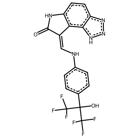 O=C1Nc2ccc3nn[nH]c3c2/C1=C\Nc1ccc(C(O)(C(F)(F)F)C(F)(F)F)cc1